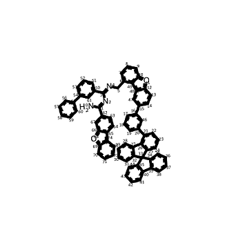 N/C(=N\C(=N/Cc1cccc2oc3ccc(-c4cccc(-c5cccc6c5-c5ccccc5C65c6ccccc6-c6ccccc65)c4)cc3c12)c1cccc(-c2ccccc2)c1)c1ccc2c(c1)oc1ccccc12